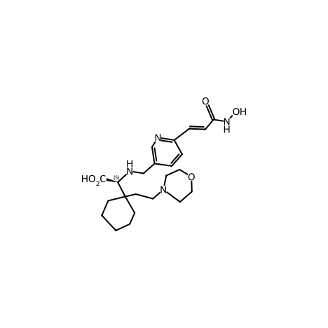 O=C(C=Cc1ccc(CN[C@H](C(=O)O)C2(CCN3CCOCC3)CCCCC2)cn1)NO